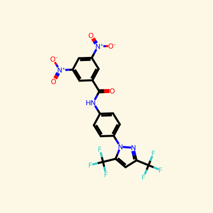 O=C(Nc1ccc(-n2nc(C(F)(F)F)cc2C(F)(F)F)cc1)c1cc([N+](=O)[O-])cc([N+](=O)[O-])c1